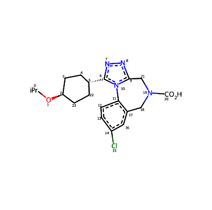 CC(C)O[C@H]1CC[C@H](c2nnc3n2-c2ccc(Cl)cc2CN(C(=O)O)C3)CC1